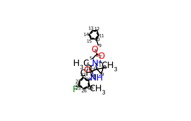 CC[N+](CC)(CC(=O)OCc1ccccc1)C1(C(=O)Nc2c(C)cc(F)cc2C)CC1